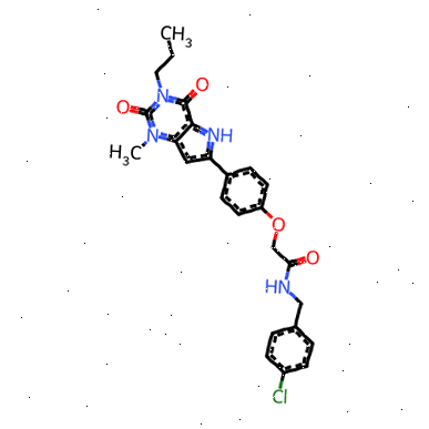 CCCn1c(=O)c2[nH]c(-c3ccc(OCC(=O)NCc4ccc(Cl)cc4)cc3)cc2n(C)c1=O